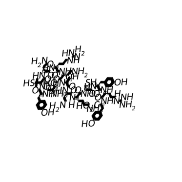 C[C@@H](O)[C@H](N)C(=O)N[C@@H](Cc1ccc(O)cc1)C(=O)N[C@H](C(=O)N[C@@H](CC(N)=O)C(=O)N[C@@H](CCCNC(=N)N)C(=O)N[C@@H](CCN)C(=O)N[C@H](C(=O)N[C@H](CCN)C(=O)N[C@@H](CCCCN)C(=O)N[C@@H](CS)C(=O)N[C@@H](Cc1ccc(O)cc1)C(=O)N[C@@H](CCCNC(=N)N)C(=O)N[C@@H](Cc1ccc(O)cc1)C(=O)O)[C@@H](C)O)C(C)(C)S